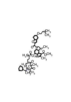 CC[C@@H]1CN(C(=O)c2cc3cc(OCCN(C)C)ccc3o2)c2cc(OC(=O)N(C)CCN(C)C(=O)C(C)(C)C(=O)N(C)/N=C(\C)c3ccccc3)c3[nH]c(C)c(C(=O)OC)c3c21